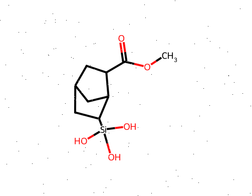 COC(=O)C1CC2CC1C([Si](O)(O)O)C2